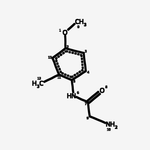 COc1ccc(NC(=O)CN)c(C)c1